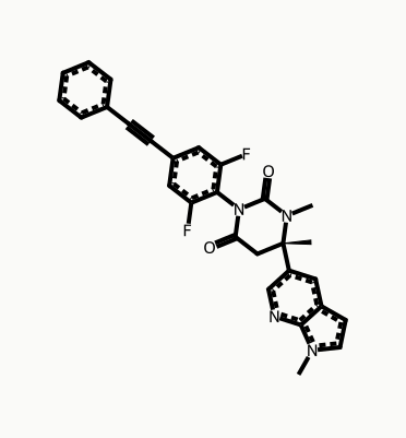 CN1C(=O)N(c2c(F)cc(C#Cc3ccccc3)cc2F)C(=O)C[C@@]1(C)c1cnc2c(ccn2C)c1